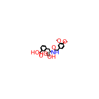 COc1ccc(CC(=O)NC(Cc2cccc(C(=O)O)c2)B(O)O)cc1OC